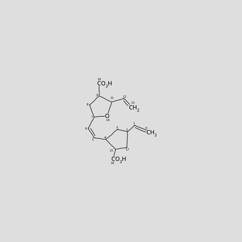 C=CC1CC(/C=C\C2CC(C(=O)O)C(C=C)O2)C(C(=O)O)C1